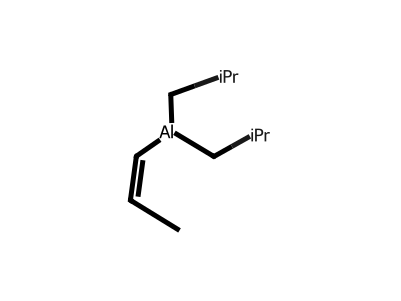 C/C=[CH]\[Al]([CH2]C(C)C)[CH2]C(C)C